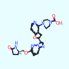 O=C1CC[C@H](COc2ccc3ncc(-c4cc5c(N6CCN(C(=O)O)CC6)nccc5o4)n3n2)N1